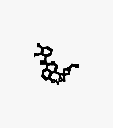 Cc1cccc2c(Nc3cccc(F)c3F)ncc(C3OCC34CN(C=O)C4)c12